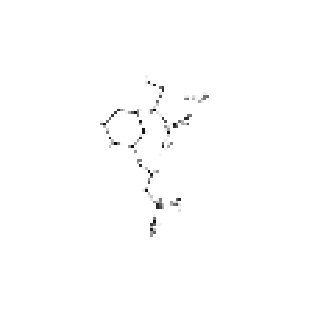 C1CCCCC1.CCCC(=O)[O-].CCCC(=O)[O-].[Pb+2]